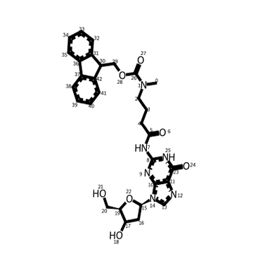 CN(CCCC(=O)Nc1nc2c(ncn2[C@H]2CC(O)[C@@H](CO)O2)c(=O)[nH]1)C(=O)OCC1c2ccccc2-c2ccccc21